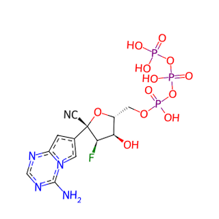 N#C[C@@]1(c2cc3ncnc(N)n3c2)O[C@H](COP(=O)(O)OP(=O)(O)OP(=O)(O)O)[C@@H](O)[C@H]1F